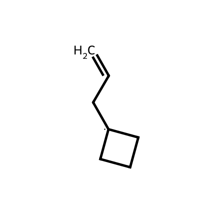 C=CC[C]1CCC1